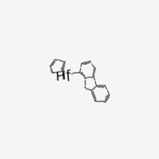 C1=CC[C]([Hf][c]2cccc3c2Cc2ccccc2-3)=C1